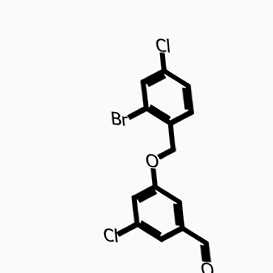 O=Cc1cc(Cl)cc(OCc2ccc(Cl)cc2Br)c1